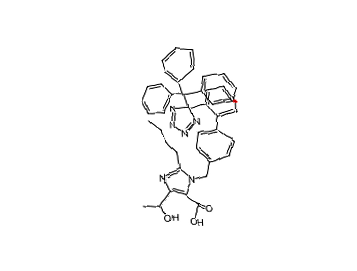 CCCCc1nc(C(C)O)c(C(=O)O)n1Cc1ccc(-c2ccccc2C2(C(c3ccccc3)(c3ccccc3)c3ccccc3)N=NN=N2)cc1